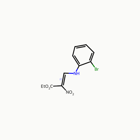 CCOC(=O)/C(=C/Nc1ccccc1Br)[N+](=O)[O-]